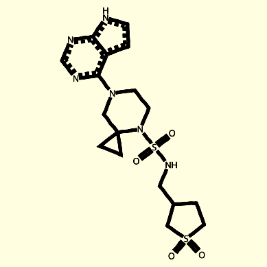 O=S1(=O)CCC(CNS(=O)(=O)N2CCN(c3ncnc4[nH]ccc34)CC23CC3)C1